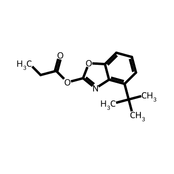 CCC(=O)Oc1nc2c(C(C)(C)C)cccc2o1